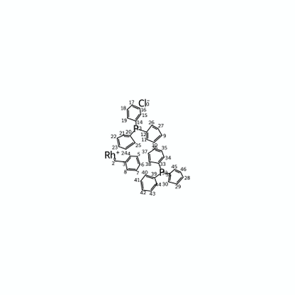 [Cl-].[Rh+]=[CH]c1ccccc1.c1ccc(P(c2ccccc2)c2ccccc2)cc1.c1ccc(P(c2ccccc2)c2ccccc2)cc1